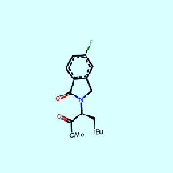 COC(=O)[C@H](CC(C)(C)C)N1Cc2cc(F)ccc2C1=O